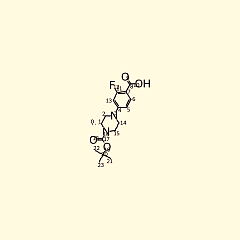 C[C@@H]1CN(c2ccc(C(=O)O)c(F)c2)CCN1C(=O)OC(C)(C)C